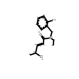 CCN(Cc1ccccc1F)C(=O)/C=C/C(C)Cl